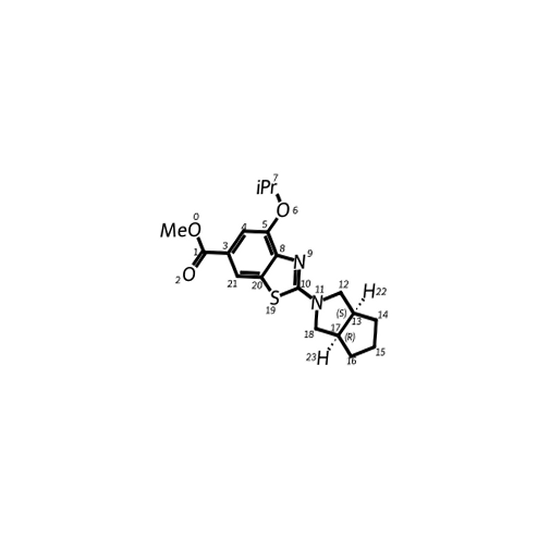 COC(=O)c1cc(OC(C)C)c2nc(N3C[C@H]4CCC[C@H]4C3)sc2c1